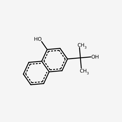 CC(C)(O)c1cc(O)c2ccccc2c1